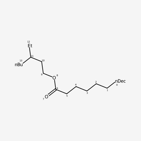 CCCCCCCCCCCCCCCC(=O)OCCC(CC)CCCC